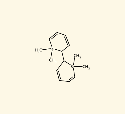 C[Si]1(C)C=CC=CC1C1C=CC=C[Si]1(C)C